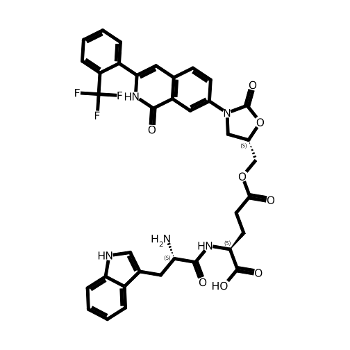 N[C@@H](Cc1c[nH]c2ccccc12)C(=O)N[C@@H](CCC(=O)OC[C@@H]1CN(c2ccc3cc(-c4ccccc4C(F)(F)F)[nH]c(=O)c3c2)C(=O)O1)C(=O)O